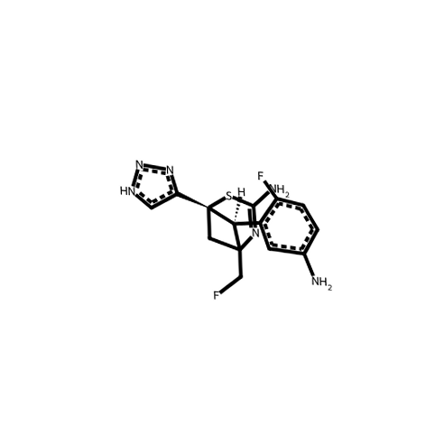 NC1=NC2(CF)C[C@](c3c[nH]nn3)(S1)[C@H]2c1cc(N)ccc1F